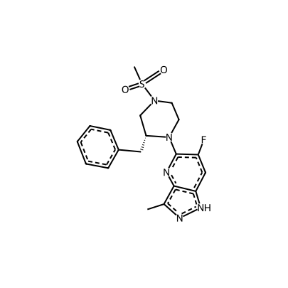 Cc1n[nH]c2cc(F)c(N3CCN(S(C)(=O)=O)C[C@H]3Cc3ccccc3)nc12